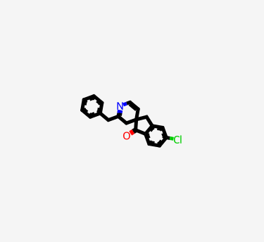 O=C1c2ccc(Cl)cc2CC12C=CN=C(Cc1ccccc1)C2